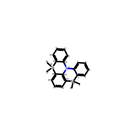 C[Si]1(C)c2ccccc2N2c3ccccc3[Si](C)(C)c3cccc1c32